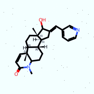 CN1C(=O)C=C[C@@]2(C)C1CC[C@@H]1[C@H]2CC[C@]2(C)C(O)C(=Cc3cccnc3)C[C@@H]12